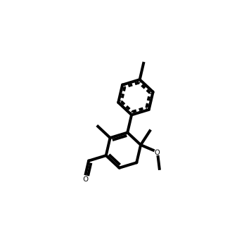 COC1(C)CC=C(C=O)C(C)=C1c1ccc(C)cc1